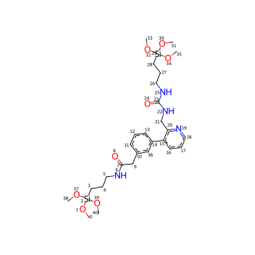 CO[Si](CCCNC(=O)Cc1cccc(-c2cccnc2CNC(=O)NCCC[Si](OC)(OC)OC)c1)(OC)OC